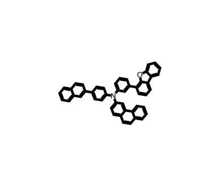 c1cc(-c2cccc3c2oc2ccccc23)cc(N(c2ccc(-c3ccc4ccccc4c3)cc2)c2ccc3ccc4ccccc4c3c2)c1